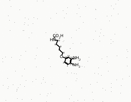 Nc1ccc(OCCCCCNC(=O)O)cc1N